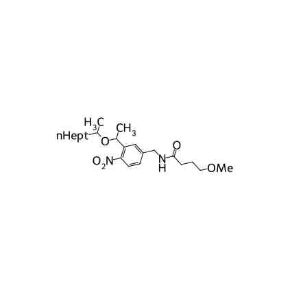 CCCCCCCC(C)OC(C)c1cc(CNC(=O)CCCOC)ccc1[N+](=O)[O-]